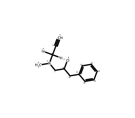 [2H]C([2H])(C#C)N(C)CC(Cl)Cc1ccccc1